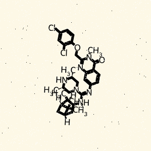 C[C@@H]1CN(C(=Nc2ccc3c(=O)n(C)c(COc4ccc(Cl)cc4Cl)nc3c2)NC2C[C@@H]3C[C@@H]([C@H]2C)C3(C)C)C[C@H](C)N1